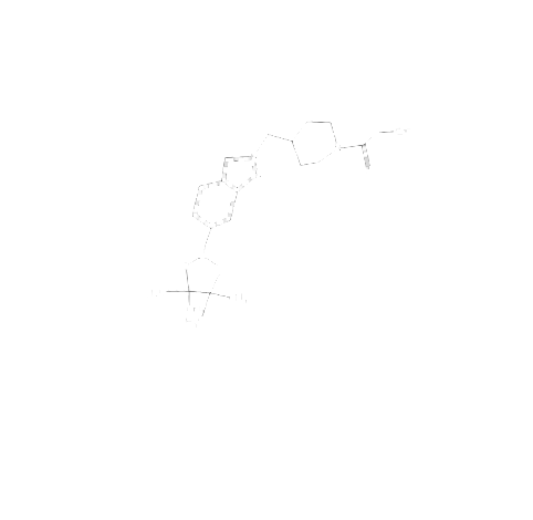 CC(C)(C)OC(=O)N1CCC(Cn2cc3ccc(B4OC(C)(C)C(C)(C)O4)cc3n2)CC1